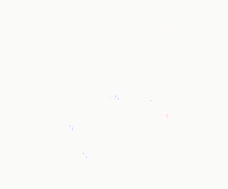 Cc1ncc2c(NC3c4ccc(F)c(O)c4C(C)(C)CC3(O)C(F)(F)F)cc(F)c(F)c2n1